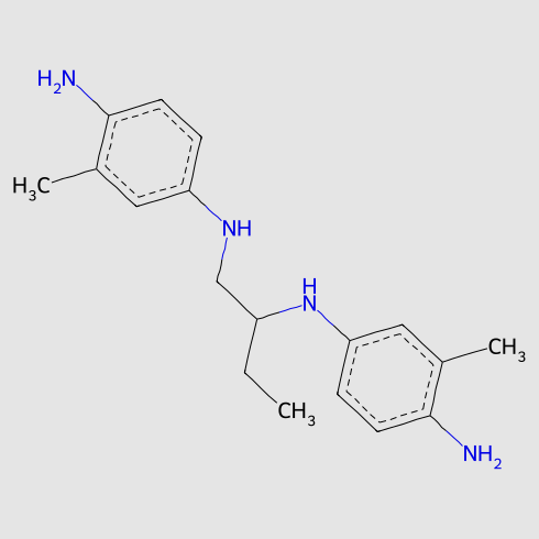 CCC(CNc1ccc(N)c(C)c1)Nc1ccc(N)c(C)c1